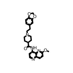 COc1ccc2nccc(NC(=O)C3CCN(CCc4ccc5c(c4)OCO5)CC3)c2n1